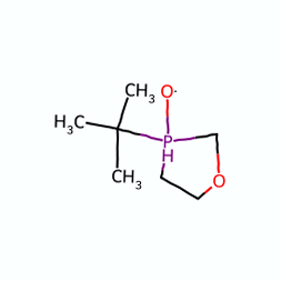 CC(C)(C)[PH]1([O])CCOC1